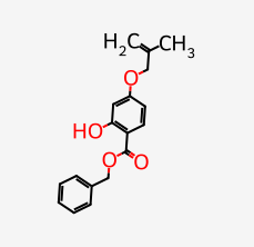 C=C(C)COc1ccc(C(=O)OCc2ccccc2)c(O)c1